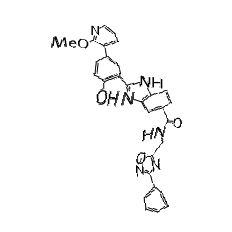 COc1ncccc1-c1ccc(O)c(-c2nc3cc(C(=O)NCc4nc(-c5ccccc5)no4)ccc3[nH]2)c1